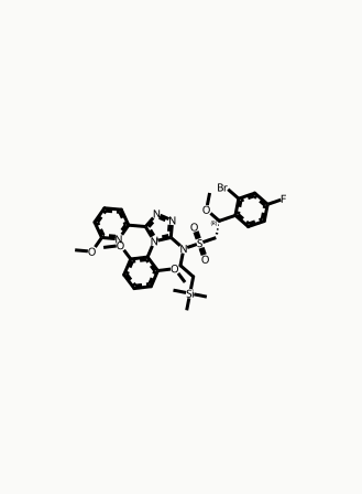 COc1cccc(-c2nnc(N(CC[Si](C)(C)C)S(=O)(=O)C[C@H](OC)c3ccc(F)cc3Br)n2-c2c(OC)cccc2OC)n1